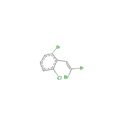 Clc1cccc(Br)c1C=C(Br)Br